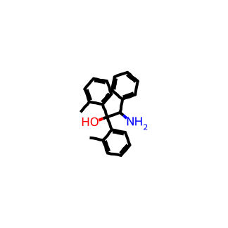 Cc1ccccc1C(O)(c1ccccc1C)C(N)c1ccccc1